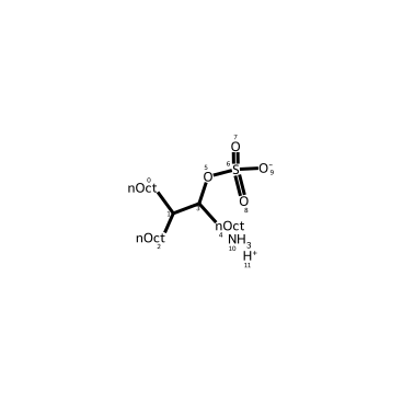 CCCCCCCCC(CCCCCCCC)C(CCCCCCCC)OS(=O)(=O)[O-].N.[H+]